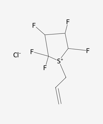 C=CC[S+]1C(F)C(F)C(F)C1(F)F.[Cl-]